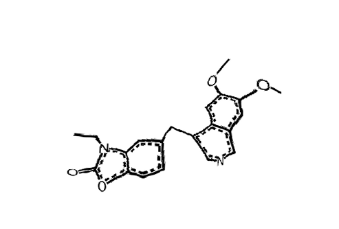 CCn1c(=O)oc2ccc(Cc3cncc4cc(OC)c(OC)cc34)cc21